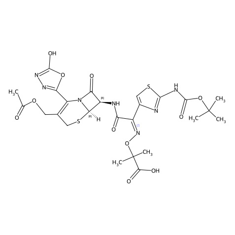 CC(=O)OCC1=C(c2nnc(O)o2)N2C(=O)[C@@H](NC(=O)/C(=N\OC(C)(C)C(=O)O)c3csc(NC(=O)OC(C)(C)C)n3)[C@H]2SC1